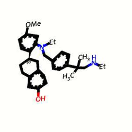 CCNCC(C)(C)c1ccc(CN(CC)c2cc(OC)ccc2[C@@H]2CCc3cc(O)ccc3C2)cc1